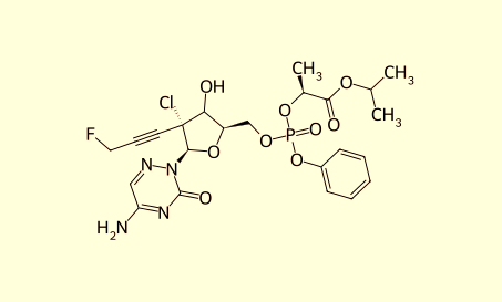 CC(C)OC(=O)[C@H](C)OP(=O)(OC[C@H]1O[C@@H](n2ncc(N)nc2=O)[C@@](Cl)(C#CCF)C1O)Oc1ccccc1